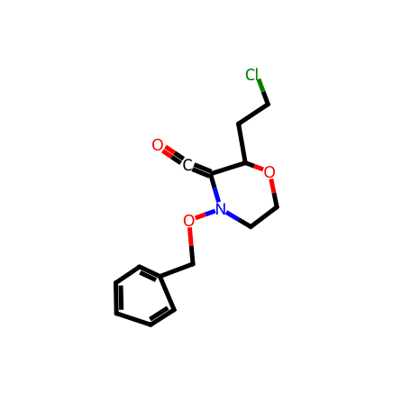 O=C=C1C(CCCl)OCCN1OCc1ccccc1